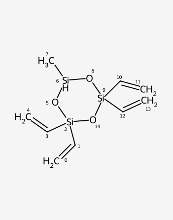 C=C[Si]1(C=C)O[SiH](C)O[Si](C=C)(C=C)O1